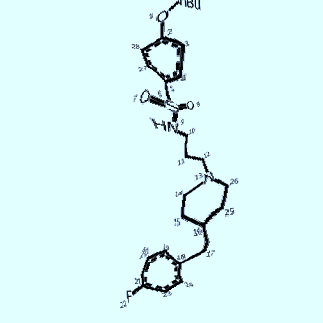 CCCCOc1ccc(S(=O)(=O)NCCCN2CCC(Cc3ccc(F)cc3)CC2)cc1